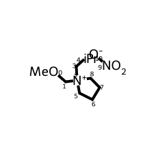 COC[N+]1(CC(C)C)CCCC1.O=[N+]([O-])[O-]